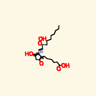 CCCCCCCCC(/C=C/[C@H]1[C@H](O)CC(=O)[C@@H]1CCCCCC(=O)O)OO